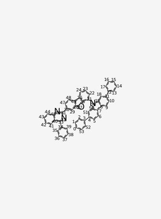 c1ccc(-c2ccc3c4ccc(-c5ccccc5)cc4n(-c4cccc5c4oc4cc(-c6nc(-c7ccccc7)c7ccccc7n6)ccc45)c3c2)cc1